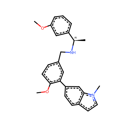 COc1cccc([C@@H](C)NCc2ccc(OC)c(-c3ccc4ccn(C)c4c3)c2)c1